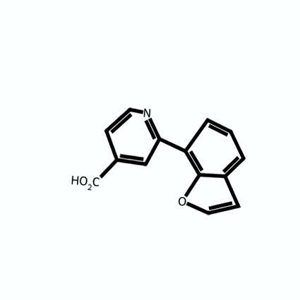 O=C(O)c1ccnc(-c2cccc3ccoc23)c1